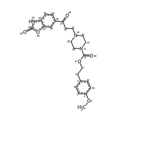 COc1ccc(CCOC(=O)N2CCN(CCC(=O)c3ccc4[nH]c(=O)oc4c3)CC2)cc1